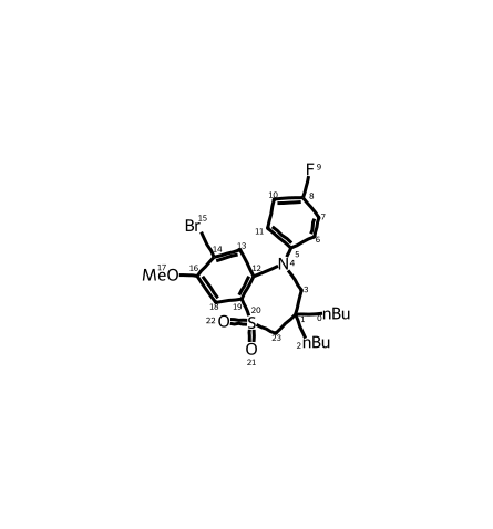 CCCCC1(CCCC)CN(c2ccc(F)cc2)c2cc(Br)c(OC)cc2S(=O)(=O)C1